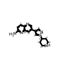 Nc1ccc2ncc(-c3cnn(C4CCNCC4)c3)cc2n1